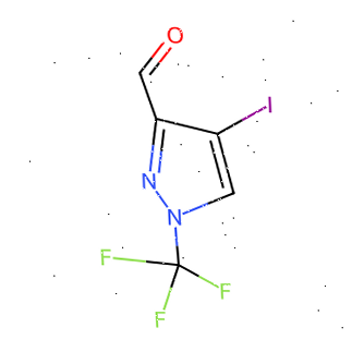 O=Cc1nn(C(F)(F)F)cc1I